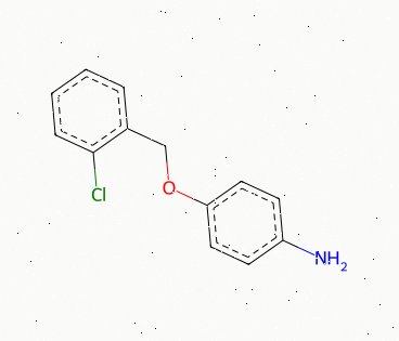 Nc1ccc(OCc2ccccc2Cl)cc1